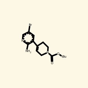 CC(C)(C)OC(=O)N1CC=C(c2cc(Br)cnc2N)CC1